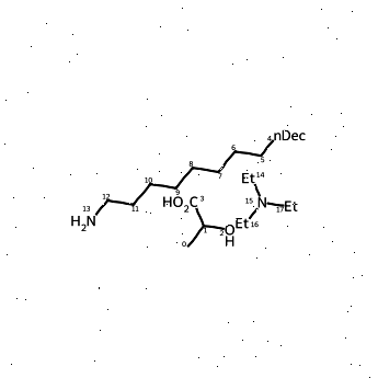 CC(O)C(=O)O.CCCCCCCCCCCCCCCCCCN.CCN(CC)CC